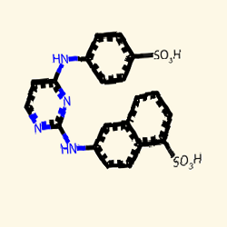 O=S(=O)(O)c1ccc(Nc2ccnc(Nc3ccc4c(S(=O)(=O)O)cccc4c3)n2)cc1